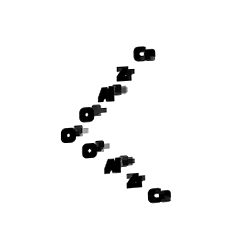 [Al+3].[Al+3].[Ce].[Ce].[O-2].[O-2].[O-2].[Zr].[Zr]